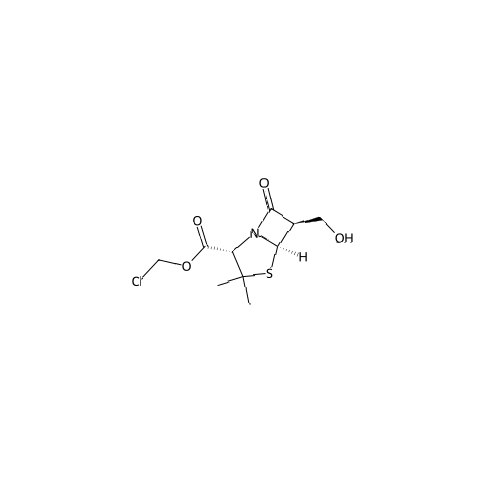 CC1(C)S[C@@H]2[C@H](CO)C(=O)N2[C@H]1C(=O)OCCl